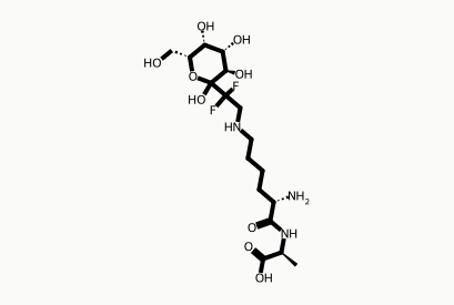 C[C@H](NC(=O)[C@@H](N)CCCCNCC(F)(F)C1(O)O[C@H](CO)[C@H](O)[C@H](O)[C@H]1O)C(=O)O